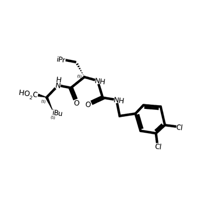 CC[C@H](C)[C@H](NC(=O)[C@H](CC(C)C)NC(=O)NCc1ccc(Cl)c(Cl)c1)C(=O)O